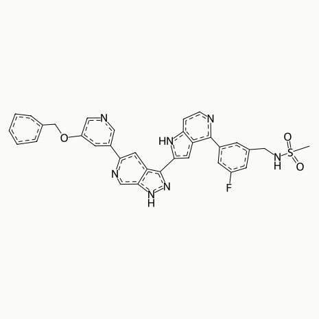 CS(=O)(=O)NCc1cc(F)cc(-c2nccc3[nH]c(-c4n[nH]c5cnc(-c6cncc(OCc7ccccc7)c6)cc45)cc23)c1